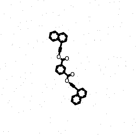 O=C(OC#Cc1cccc2ccccc12)c1cccc(C(=O)OC#Cc2cccc3ccccc23)c1